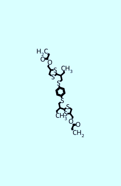 C=CC(=O)OCC1CSC(C(CC)CSc2ccc(SCC(CC)C3SCC(COC(=O)C=C)S3)cc2)S1